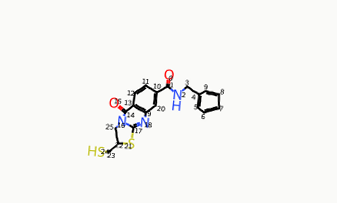 O=C(NCc1ccccc1)c1ccc2c(=O)n3c(nc2c1)S[C@@H](CS)C3